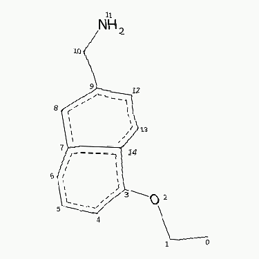 CCOc1cccc2cc(CN)ccc12